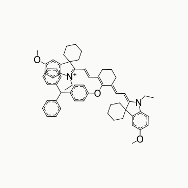 CCN1/C(=C/C=C2\CCCC(/C=C/C3=[N+](CC)c4ccc(OC)cc4C34CCCCC4)=C2Oc2ccc(C(c3ccccc3)c3ccccc3)cc2)C2(CCCCC2)c2cc(OC)ccc21